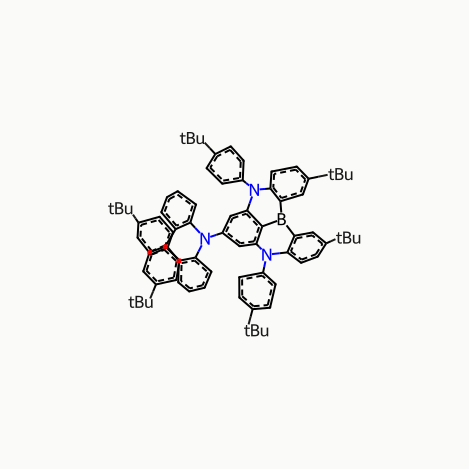 CC(C)(C)c1ccc(-c2ccccc2N(c2cc3c4c(c2)N(c2ccc(C(C)(C)C)cc2)c2ccc(C(C)(C)C)cc2B4c2cc(C(C)(C)C)ccc2N3c2ccc(C(C)(C)C)cc2)c2ccccc2-c2ccc(C(C)(C)C)cc2)cc1